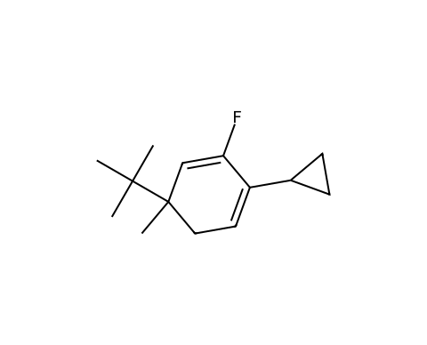 CC(C)(C)C1(C)C=C(F)C(C2CC2)=CC1